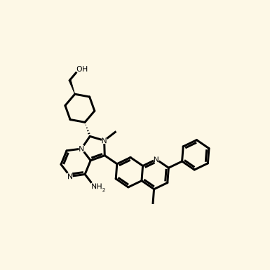 Cc1cc(-c2ccccc2)nc2cc(C3=C4C(N)=NC=CN4C([C@H]4CC[C@H](CO)CC4)N3C)ccc12